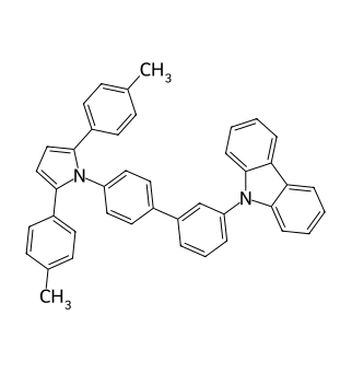 Cc1ccc(-c2ccc(-c3ccc(C)cc3)n2-c2ccc(-c3cccc(-n4c5ccccc5c5ccccc54)c3)cc2)cc1